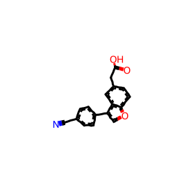 N#Cc1ccc(-c2coc3ccc(CC(=O)O)cc23)cc1